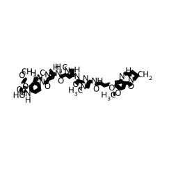 C=C1C[C@H]2C=Nc3cc(OCCCC(=O)Nc4cn(C)c(C(=O)Nc5cc(C(=O)Nc6cc(C(=O)n7ncc8cc(NP(=O)(O)OCCOC)ccc87)n(C)c6)n(C)c5)n4)c(OC)cc3C(=O)N2C1